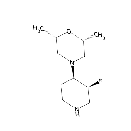 C[C@@H]1CN([C@@H]2CCNC[C@@H]2F)C[C@H](C)O1